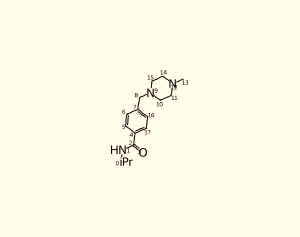 CC(C)NC(=O)c1ccc(CN2CCN(C)CC2)cc1